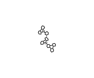 c1cc(-c2ccc3c(c2)c2ccccc2n3-c2ccc3c4ccccc4c4ccccc4c3c2)cc(-n2c3ccccc3c3ccccc32)c1